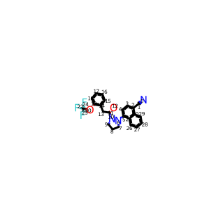 N#Cc1ccc(N2CCCN2C(=O)Cc2ccccc2OC(F)(F)F)c2ccccc12